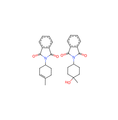 CC1(O)CCC(N2C(=O)c3ccccc3C2=O)CC1.CC1=CCC(N2C(=O)c3ccccc3C2=O)CC1